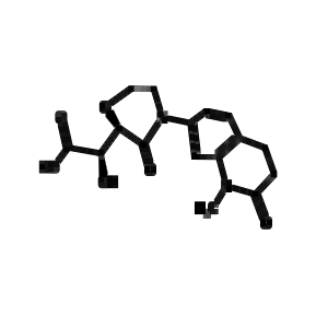 CN1C(=O)CCc2ccc(N3CCO[C@H]([C@@H](O)C(=O)O)C3=O)cc21